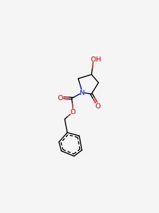 O=C1CC(O)CN1C(=O)OCc1ccccc1